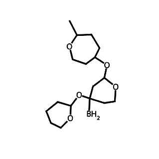 BC1(OC2CCCCO2)CCOC(OC2CCOC(C)CC2)C1